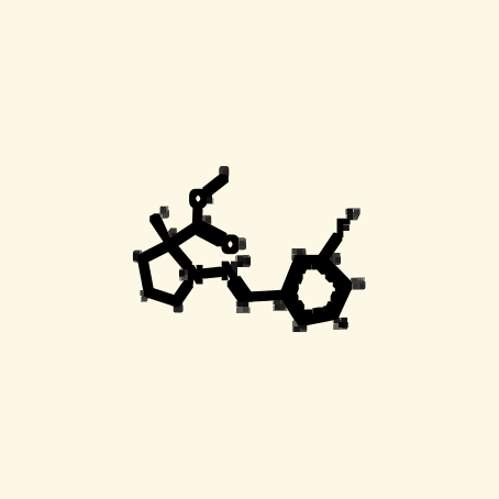 COC(=O)[C@@]1(C)CCCN1/N=C/c1cccc(F)c1